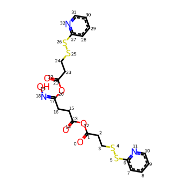 O=C(CCSSc1ccccn1)OC(=O)CC/C(=N/O)OC(=O)CCSSc1ccccn1